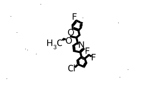 CCOC(=O)C(Cc1ccc(F)cc1)c1ccc(-c2cc(Cl)ccc2C(F)F)cn1